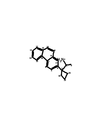 CC(N)C1(c2ccc3c(ccc4ccccc43)c2)CCC1